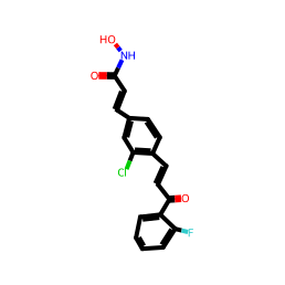 O=C(/C=C/c1ccc(/C=C/C(=O)c2ccccc2F)c(Cl)c1)NO